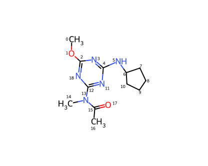 COc1nc(NC2CCCC2)nc(N(C)C(C)=O)n1